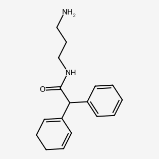 NCCCNC(=O)C(C1=CCCC=C1)c1ccccc1